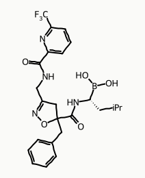 CC(C)C[C@H](NC(=O)C1(Cc2ccccc2)CC(CNC(=O)c2cccc(C(F)(F)F)n2)=NO1)B(O)O